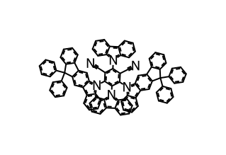 N#Cc1c(-n2c3ccccc3c3ccccc32)c(C#N)c(-n2c3ccccc3c3cc4c(cc32)-c2ccccc2C4(c2ccccc2)c2ccccc2)c(-n2c3ccccc3c3ccccc32)c1-n1c2ccccc2c2cc3c(cc21)-c1ccccc1C3(c1ccccc1)c1ccccc1